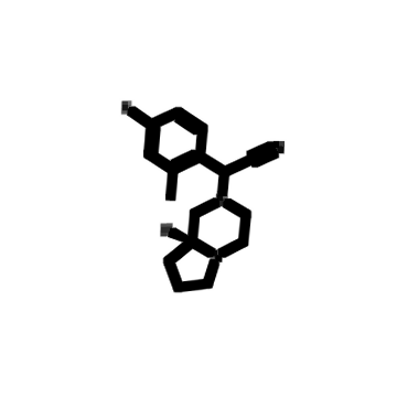 Cc1cc(F)ccc1C(C#N)N1CCN2CCC[C@@H]2C1